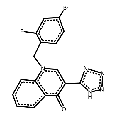 O=c1c(-c2nnn[nH]2)cn(Cc2ccc(Br)cc2F)c2ccccc12